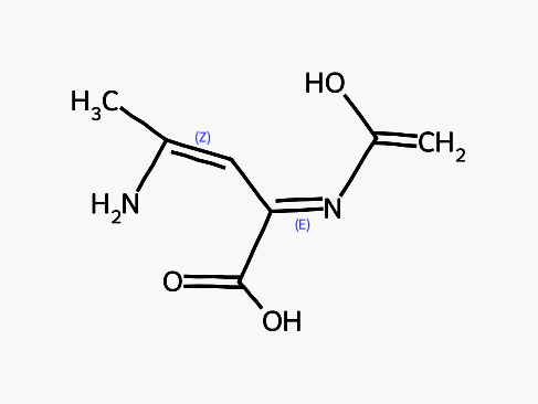 C=C(O)/N=C(\C=C(\C)N)C(=O)O